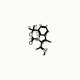 C/N=C(\C)c1c(C)c2cccc3c2n1C(=O)OC3(C)C